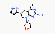 Cc1nc(N)nc2c1C=C(c1ccn[nH]1)CN2[C@H]1CCOC1